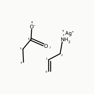 C=CCN.CCC(=O)[O-].[Ag+]